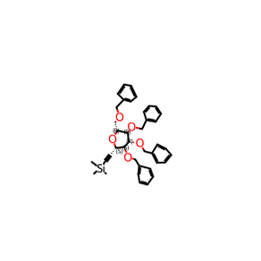 C[Si](C)(C)C#C[C@@H]1O[C@H](COCc2ccccc2)[C@@H](OCc2ccccc2)[C@H](OCc2ccccc2)[C@H]1OCc1ccccc1